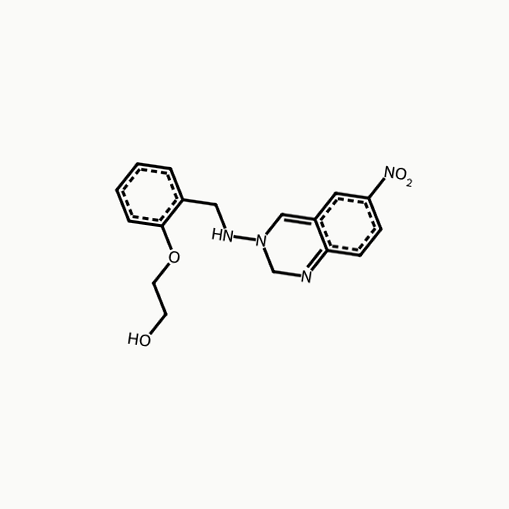 O=[N+]([O-])c1ccc2c(c1)=CN(NCc1ccccc1OCCO)CN=2